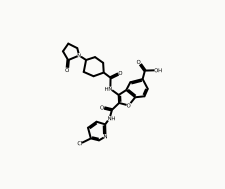 O=C(O)c1ccc2oc(C(=O)Nc3ccc(Cl)cn3)c(NC(=O)C3CCC(N4CCCC4=O)CC3)c2c1